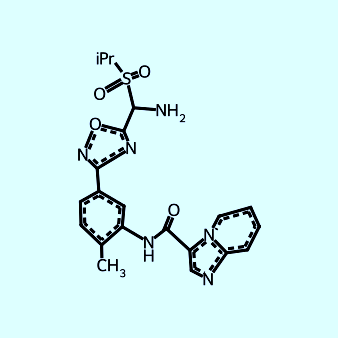 Cc1ccc(-c2noc(C(N)S(=O)(=O)C(C)C)n2)cc1NC(=O)c1cnc2ccccn12